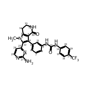 Cn1c2c(c(-c3cccc(NC(=O)Nc4ccc(C(F)(F)F)cc4)c3)c1-c1ccnc(N)n1)C(=O)NCC2